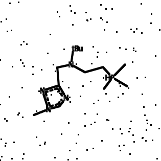 Cn1cnc(CN(CC[PH](C)(C)C)C(C)(C)C)n1